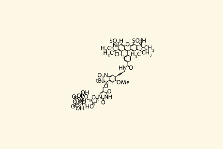 COc1cc([C@@H](OCc2cn([C@H]3C[C@@H](O)[C@@H](COP(=O)(O)OP(=O)(O)OP(=O)(O)O)O3)c(=O)[nH]c2=O)C(C)(C)C)c([N+](=O)[O-])cc1C#CCNC(=O)c1ccc(C2=c3cc4c(c(S(=O)(=O)O)c3Oc3c2cc2c(c3S(=O)(=O)O)NC(C)C2(C)C)=NC(C)C4(C)C)cc1